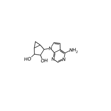 Nc1ncnc2c1ccn2C1C(O)C(O)C2CC21